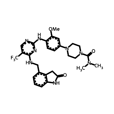 COc1cc(N2CCN(C(=O)N(C)C)CC2)ccc1Nc1ncc(C(F)(F)F)c(NCc2cccc3c2CC(=O)N3)n1